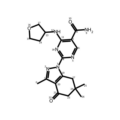 Cc1nn(-c2ncc(C(N)=O)c(NC3CCOC3)n2)c2c1C(=O)CC(C)(C)C2